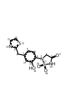 O=C1CN(c2ccc(Cc3nccs3)cc2O)S(=O)(=O)N1